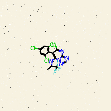 CC([N]c1c(-c2c(Cl)cc(Cl)cc2Cl)c(Cl)nc2ncnn12)C(F)(F)F